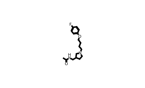 CC(=O)NCC1CCN(CCCCOc2ccc(F)cc2)C1